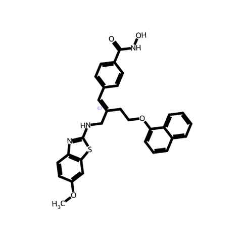 COc1ccc2nc(NC/C(=C/c3ccc(C(=O)NO)cc3)CCOc3cccc4ccccc34)sc2c1